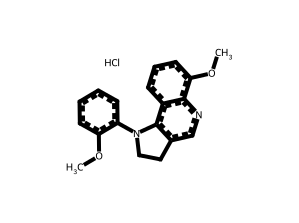 COc1ccccc1N1CCc2cnc3c(OC)cccc3c21.Cl